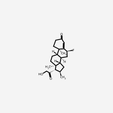 C[C@@H]1C[C@H]2[C@@H]3C[C@H](F)C4=CC(=O)CC[C@]4(C)[C@H]3CC[C@]2(C)[C@H]1C(=O)CO